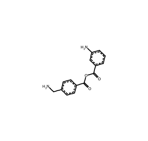 NCc1ccc(C(=O)OC(=O)c2cccc(N)c2)cc1